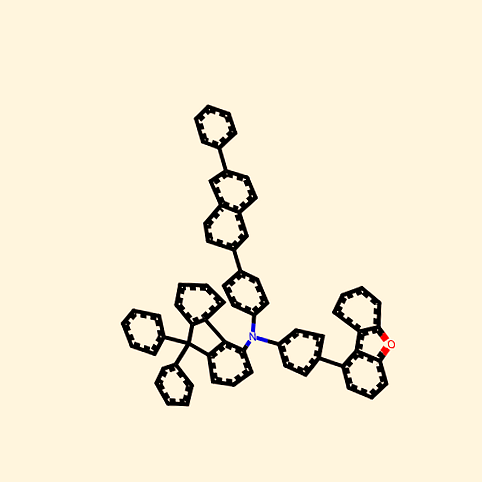 c1ccc(-c2ccc3cc(-c4ccc(N(c5ccc(-c6cccc7oc8ccccc8c67)cc5)c5cccc6c5-c5ccccc5C6(c5ccccc5)c5ccccc5)cc4)ccc3c2)cc1